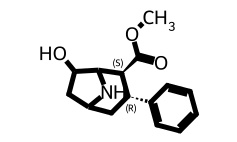 COC(=O)[C@@H]1C2NC(CC2O)C[C@H]1c1ccccc1